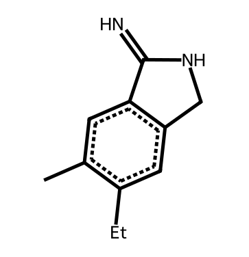 CCc1cc2c(cc1C)C(=N)NC2